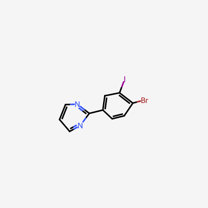 Brc1ccc(-c2ncccn2)cc1I